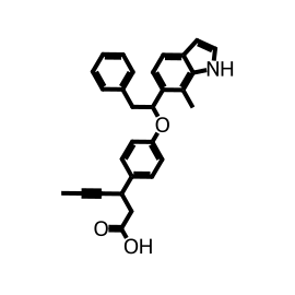 CC#CC(CC(=O)O)c1ccc(OC(Cc2ccccc2)c2ccc3cc[nH]c3c2C)cc1